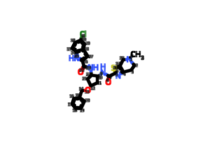 CN1CCc2nc(C(=O)N[C@@H]3CC(OCc4ccccc4)CC3NC(=O)c3cc4cc(Cl)ccc4[nH]3)sc2C1